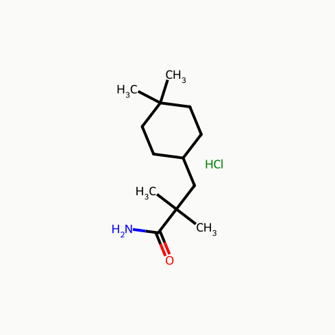 CC1(C)CCC(CC(C)(C)C(N)=O)CC1.Cl